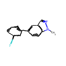 Cn1ncc2cc(-c3cccc(F)c3)ccc21